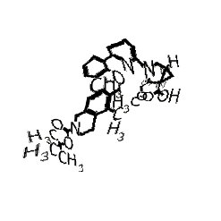 COC[C@H]1N(c2cccc(-c3cccc(C)c3OCc3ccc4c(c3C)CCN(C(=O)OC(C)(C)C)C4)n2)C[C@@H]2C[C@@]21C(=O)O